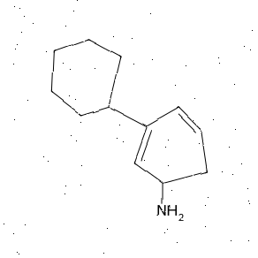 NC1C=C(C2CCCCC2)C=CC1